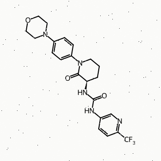 O=C(Nc1ccc(C(F)(F)F)nc1)N[C@@H]1CCCN(c2ccc(N3CCOCC3)cc2)C1=O